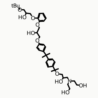 CC(C)(C)OCC(O)COc1ccccc1OCC(O)COc1ccc(C(C)(C)c2ccc(C(C)(C)OCC(O)CN(CCO)CCO)cc2)cc1